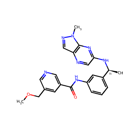 COCc1cncc(C(=O)Nc2cccc([C@H](C)Nc3cnc4cnn(C)c4n3)c2)c1